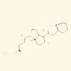 CC[C@H]1CCC2(C)[C@@H]([C@H](C)CCC(=O)OC)CC[C@H]2C1C(CC1CCC[C@@H](O)C1)NS(=O)(=O)O